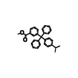 COC(=O)c1cccc(C(c2ccccc2)(c2ccccc2)c2ccc(C(C)C)cc2)c1